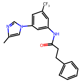 Cc1cn(-c2cc(NC(=O)CCc3ccccc3)cc(C(F)(F)F)c2)cn1